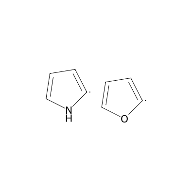 [c]1ccc[nH]1.[c]1ccco1